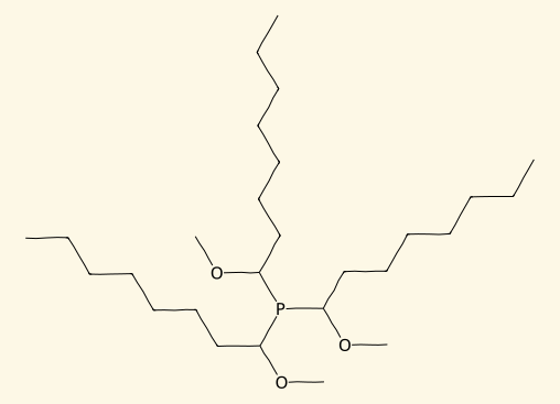 CCCCCCCC(OC)P(C(CCCCCCC)OC)C(CCCCCCC)OC